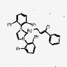 CC(C)c1cccc(C(C)C)c1-n1ccn(-c2c(C(C)C)cccc2C(C)C)[c]1=[Pd-][CH2]C=C(Cl)c1ccccc1